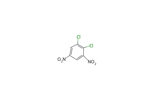 O=[N+]([O-])c1[c]c(Cl)c(Cl)c([N+](=O)[O-])c1